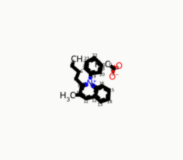 CC(=O)[O-].CCCCc1c(C)cc2ccccc2[n+]1-c1ccccc1